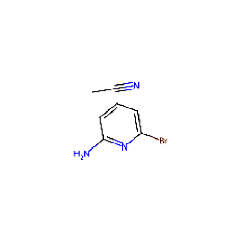 CC#N.Nc1cccc(Br)n1